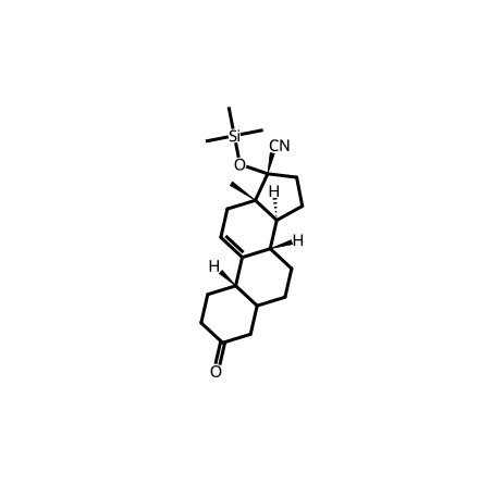 C[C@]12CC=C3[C@H]4CCC(=O)CC4CC[C@H]3[C@@H]1CC[C@@]2(C#N)O[Si](C)(C)C